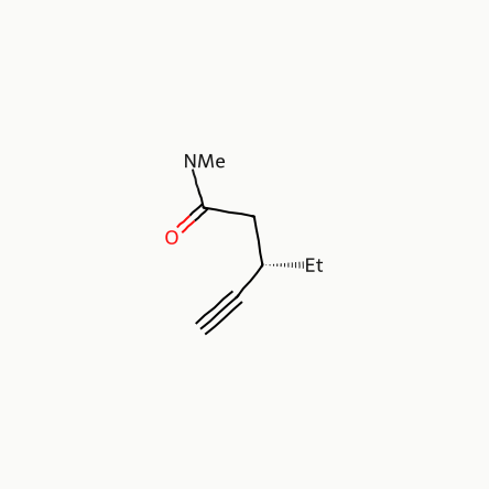 C#C[C@@H](CC)CC(=O)NC